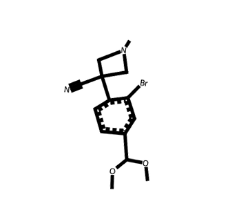 COC(OC)c1ccc(C2(C#N)CN(C)C2)c(Br)c1